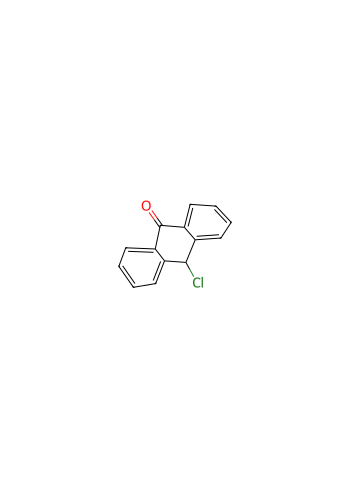 O=C1c2ccccc2C(Cl)c2ccccc21